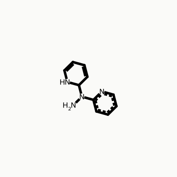 NN(c1ccccn1)C1C=CC=CN1